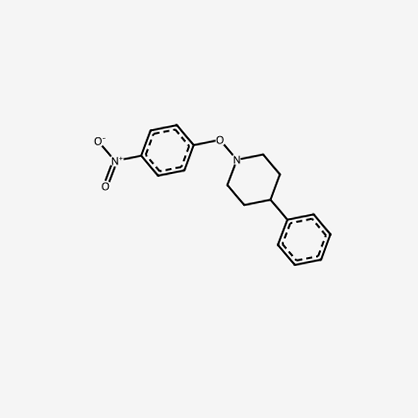 O=[N+]([O-])c1ccc(ON2CCC(c3ccccc3)CC2)cc1